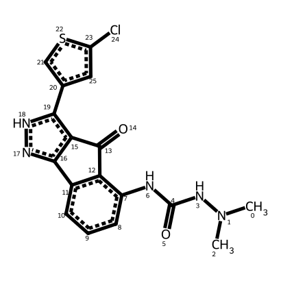 CN(C)NC(=O)Nc1cccc2c1C(=O)c1c-2n[nH]c1-c1csc(Cl)c1